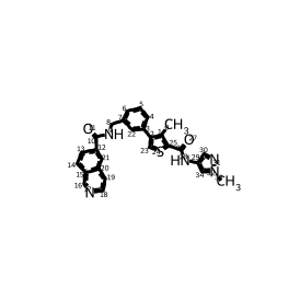 Cc1c(-c2cccc(CNC(=O)c3ccc4cnccc4c3)c2)csc1C(=O)Nc1cnn(C)c1